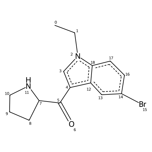 CCn1cc(C(=O)C2CCCN2)c2cc(Br)ccc21